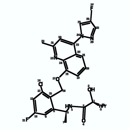 CCC[C@H](O)C(=O)N[C@@H](C)c1cc(F)cc(Cl)c1COc1cccc2c(-n3cc(F)cn3)cc(C)nc12